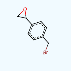 BrCc1ccc(C2CO2)cc1